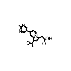 CC(=O)c1cc(CC(=O)O)n2ccc(-c3cnc(C)nc3)cc12